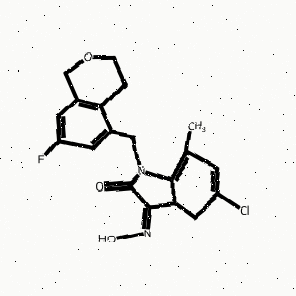 CC1=C2C(CC(Cl)=C1)/C(=N/O)C(=O)N2Cc1cc(F)cc2c1CCOC2